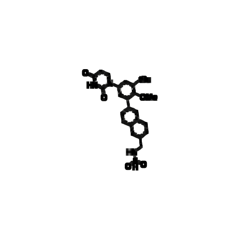 COc1c(-c2ccc3cc(CN[SH](=O)=O)ccc3c2)cc(-n2ccc(=O)[nH]c2=O)cc1C(C)(C)C